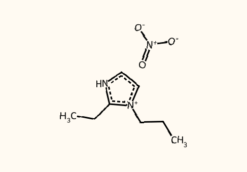 CCC[n+]1cc[nH]c1CC.O=[N+]([O-])[O-]